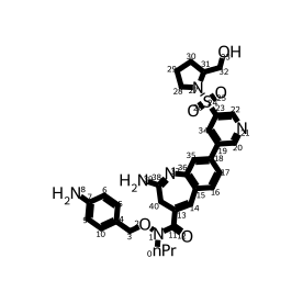 CCCN(OCc1ccc(N)cc1)C(=O)C1=Cc2ccc(-c3cncc(S(=O)(=O)N4CCCC4CO)c3)cc2N=C(N)C1